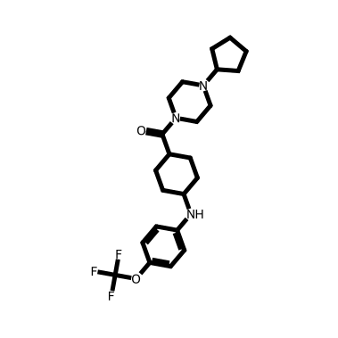 O=C(C1CCC(Nc2ccc(OC(F)(F)F)cc2)CC1)N1CCN(C2CCCC2)CC1